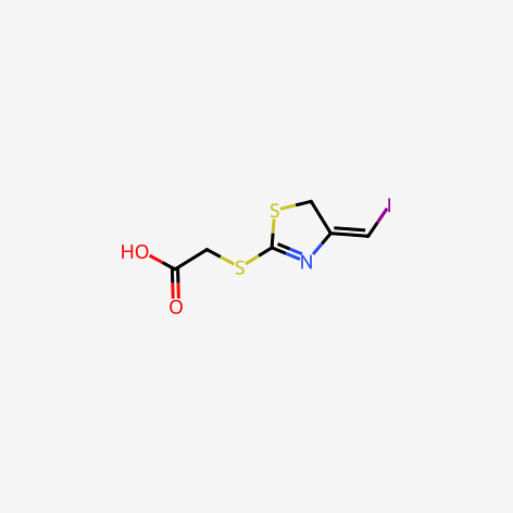 O=C(O)CSC1=N/C(=C/I)CS1